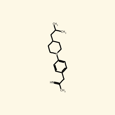 CC(=N)Cc1ccc(N2CCC(CC(C)C)CC2)cc1